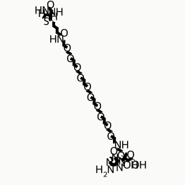 Nc1ncnc2c1ncn2[C@@]1(OCC(=O)NCCOCCOCCOCCOCCOCCOCCOCCOCCOCCOCCNC(=O)CCCC[C@@H]2SC[C@@H]3NC(=O)N[C@@H]32)CO[C@H](CO)[C@H]1O